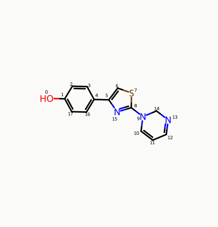 Oc1ccc(-c2csc(N3C=CC=NC3)n2)cc1